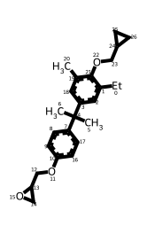 CCc1cc(C(C)(C)c2ccc(OCC3CO3)cc2)cc(C)c1OCC1CC1